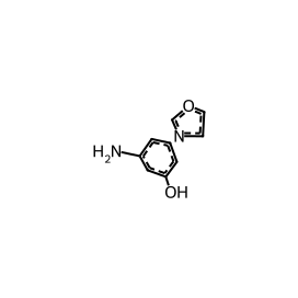 Nc1cccc(O)c1.c1cocn1